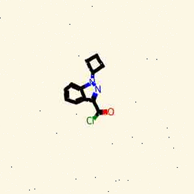 O=C(Cl)c1nn(C2CCC2)c2ccccc12